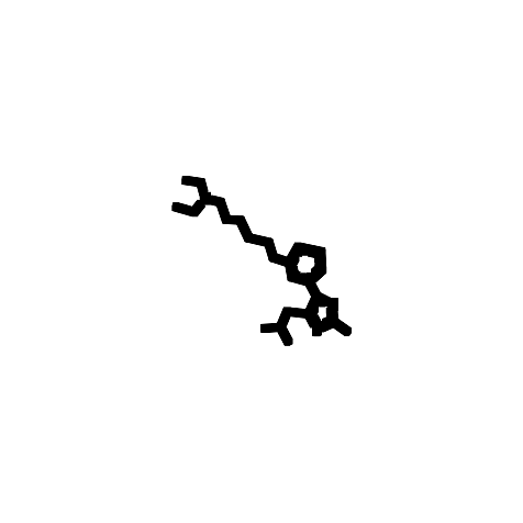 CCN(CC)CCCCCCc1cccc(-c2nc(C)sc2CC(C)C)c1